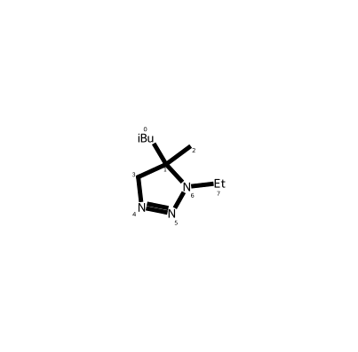 CCC(C)C1(C)CN=NN1CC